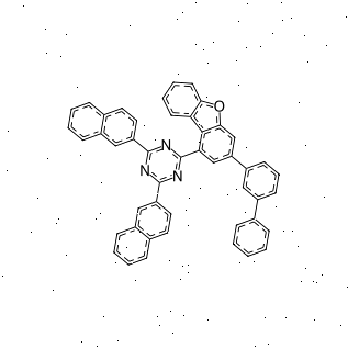 c1ccc(-c2cccc(-c3cc(-c4nc(-c5ccc6ccccc6c5)nc(-c5ccc6ccccc6c5)n4)c4c(c3)oc3ccccc34)c2)cc1